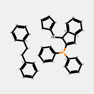 C1=CC[C]([Hf][CH]2C(P(c3ccccc3)c3ccccc3)=Cc3ccccc32)=C1.c1ccc(CCc2ccccc2)cc1